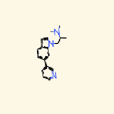 CC(Cn1ccc2ccc(-c3cccnc3)cc21)N(C)C